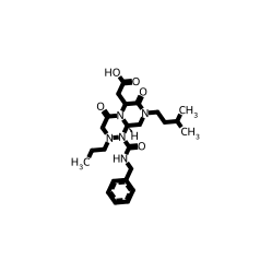 CCCN1CC(=O)N2C(CC(=O)O)C(=O)N(CCC(C)C)C[C@H]2N1C(=O)NCc1ccccc1